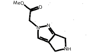 COC(=O)Cn1cc2c(n1)CNC2